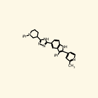 Cc1cc(-c2[nH]c3ccc(-c4nnc(C5CCCN(C(C)C)C5)[nH]4)cc3c2C(C)C)ccn1